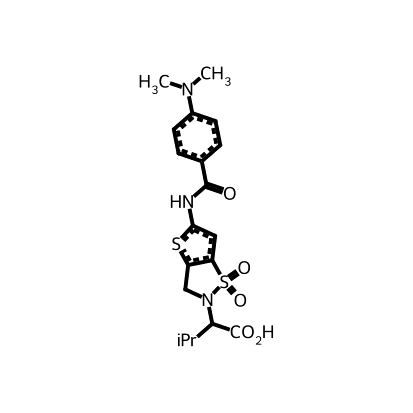 CC(C)C(C(=O)O)N1Cc2sc(NC(=O)c3ccc(N(C)C)cc3)cc2S1(=O)=O